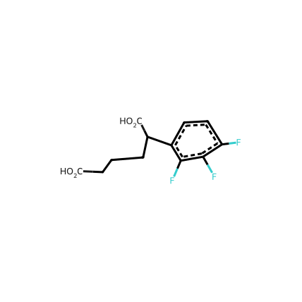 O=C(O)CCCC(C(=O)O)c1ccc(F)c(F)c1F